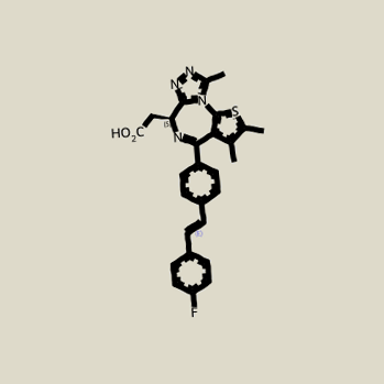 Cc1sc2c(c1C)C(c1ccc(/C=C/c3ccc(F)cc3)cc1)=N[C@@H](CC(=O)O)c1nnc(C)n1-2